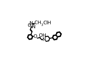 Cc1noc(C=Cc2ccccc2OCC(O)CN2CCC(c3ccc4ccccc4c3)CC2)n1.Cl